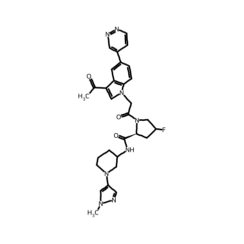 CC(=O)c1cn(CC(=O)N2CC(F)C[C@H]2C(=O)NC2CCCN(c3cnn(C)c3)C2)c2ccc(-c3ccnnc3)cc12